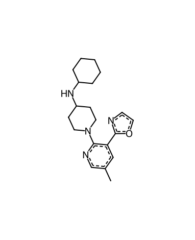 Cc1cnc(N2CCC(NC3CCCCC3)CC2)c(-c2ncco2)c1